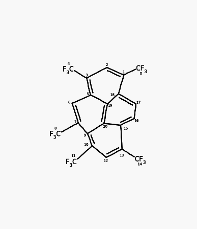 FC(F)(F)c1cc(C(F)(F)F)c2cc(C(F)(F)F)c3c(C(F)(F)F)cc(C(F)(F)F)c4ccc1c2c43